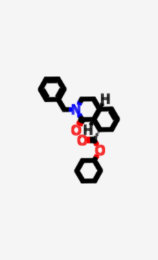 O=C(OC1CCCCC1)[C@H]1CC=C[C@H]2CCN(Cc3ccccc3)C(=O)[C@@H]12